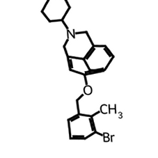 Cc1c(Br)cccc1COC1=C2C=CC3=C(C2)C(=C1)CN(C1CCCCC1)C3